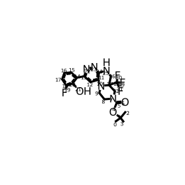 CC(C)(C)OC(=O)N1CCN2c3cc(-c4cccc(F)c4O)nnc3NCC2(C(F)(F)F)C1